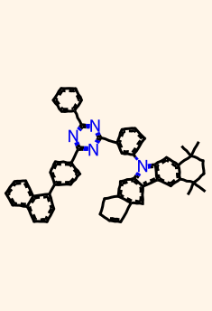 CC1(C)CCC(C)(C)c2cc3c(cc21)c1cc2c(cc1n3-c1cccc(-c3nc(-c4ccccc4)nc(-c4ccc(-c5cccc6ccccc56)cc4)n3)c1)CCC=C2